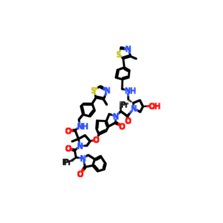 Cc1ncsc1-c1ccc(CNC[C@@H]2C[C@@H](O)CN2C(=O)[C@H](C(C)C)N2Cc3ccc(O[C@H]4CN(C(=O)[C@H](C(C)C)N5Cc6ccccc6C5=O)C(C)(C(=O)NCc5ccc(-c6scnc6C)cc5)C4)cc3C2=O)cc1